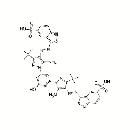 CC(C)(C)c1nn(-c2nc(O)nc(-n3nc(C(C)(C)C)c(N=Nc4snc5ccc(S(=O)(=O)O)cc45)c3N)n2)c(N)c1N=Nc1snc2ccc(S(=O)(=O)O)cc12